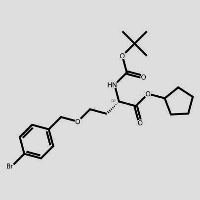 CC(C)(C)OC(=O)N[C@@H](CCOCc1ccc(Br)cc1)C(=O)OC1CCCC1